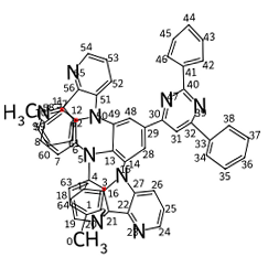 Cc1ccc(N(c2ccc(C)cc2)c2c(-n3c4cccnc4c4ncccc43)cc(-c3cc(-c4ccccc4)nc(-c4ccccc4)n3)cc2-n2c3cccnc3c3ncccc32)cc1